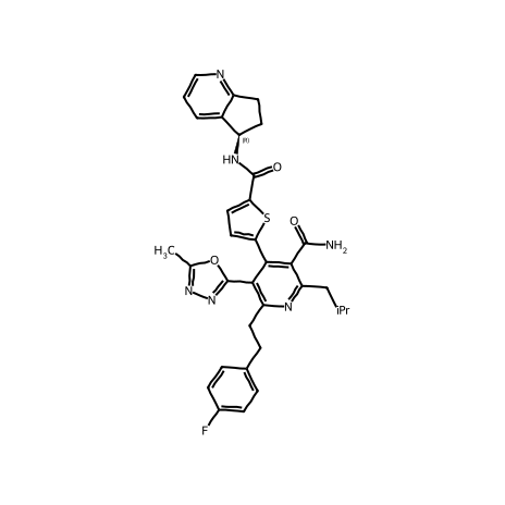 Cc1nnc(-c2c(CCc3ccc(F)cc3)nc(CC(C)C)c(C(N)=O)c2-c2ccc(C(=O)N[C@@H]3CCc4ncccc43)s2)o1